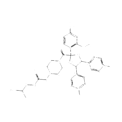 CCOc1cc(C(F)(F)F)ccc1C1(C(=O)N2CCN(CC(=O)NCC(C)OC)CC2)NC(c2ccc(Cl)cc2)C(c2ccc(Cl)cc2)N1